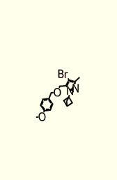 COc1ccc(COCc2c(Br)c(C)nn2C23CC(C2)C3)cc1